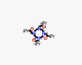 CC(C)C(=O)CN1CCN(CC(=O)C(C)C)CCN(CC(=O)C(C)C)CCN(CC(=O)C(C)C)CC1